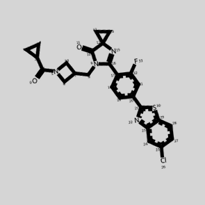 O=C(C1CC1)N1CC(CN2C(=O)C3(CC3)N=C2c2ccc(-c3nc4cc(Cl)ccc4s3)cc2F)C1